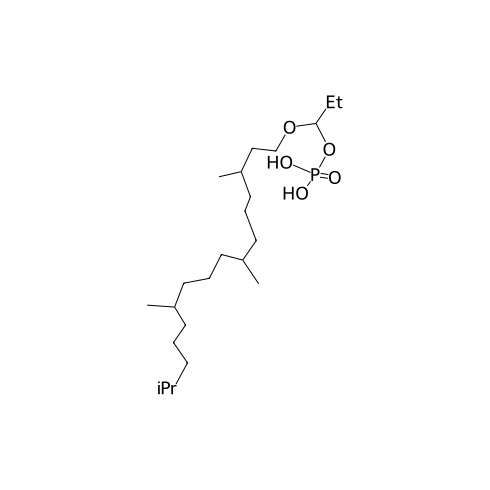 CCC(OCCC(C)CCCC(C)CCCC(C)CCCC(C)C)OP(=O)(O)O